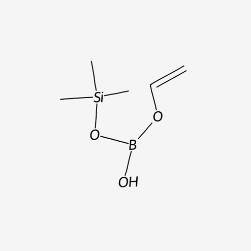 C=COB(O)O[Si](C)(C)C